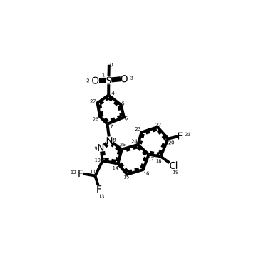 CS(=O)(=O)c1ccc(-n2nc(C(F)F)c3ccc4c(Cl)c(F)ccc4c32)cc1